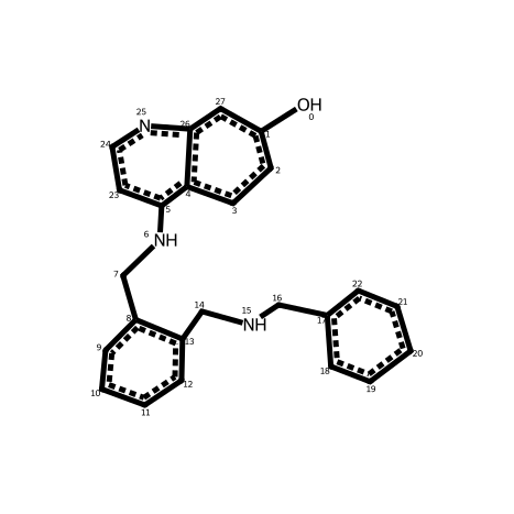 Oc1ccc2c(NCc3ccccc3CNCc3ccccc3)ccnc2c1